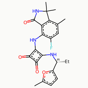 CC[C@@H](Nc1c(Nc2c(F)cc(C)c3c2C(=O)NC3(C)C)c(=O)c1=O)c1ccc(C)o1